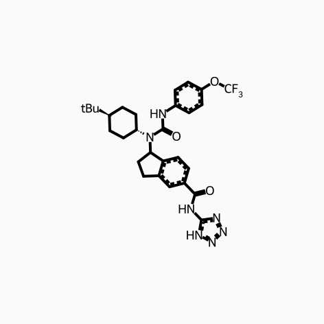 CC(C)(C)[C@H]1CC[C@H](N(C(=O)Nc2ccc(OC(F)(F)F)cc2)C2CCc3cc(C(=O)Nc4nnn[nH]4)ccc32)CC1